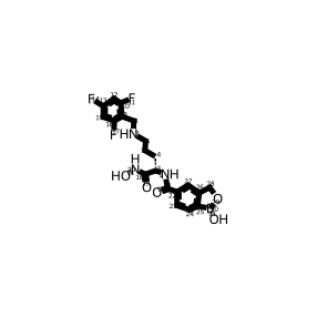 O=C(N[C@@H](CCCNCc1c(F)cc(F)cc1F)C(=O)NO)c1ccc2c(c1)COB2O